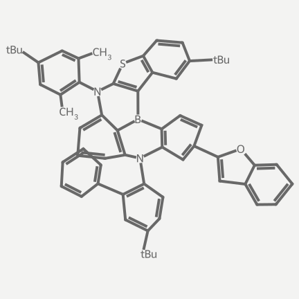 Cc1cc(C(C)(C)C)cc(C)c1N1c2cccc3c2B(c2ccc(-c4cc5ccccc5o4)cc2N3c2ccc(C(C)(C)C)cc2-c2ccccc2)c2c1sc1ccc(C(C)(C)C)cc21